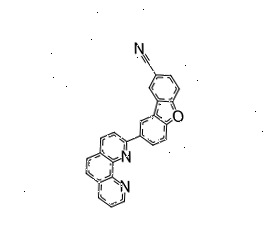 N#Cc1ccc2oc3ccc(-c4ccc5ccc6cccnc6c5n4)cc3c2c1